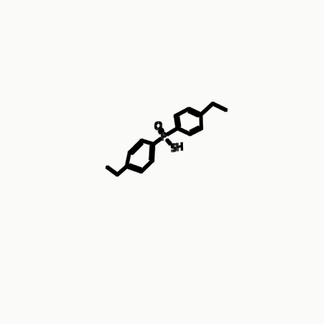 CCc1ccc(P(=O)(S)c2ccc(CC)cc2)cc1